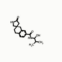 CC(C)C(O)NC(=O)c1ccc2c(c1)C[C@@]1(CC2)CNC(=O)C1